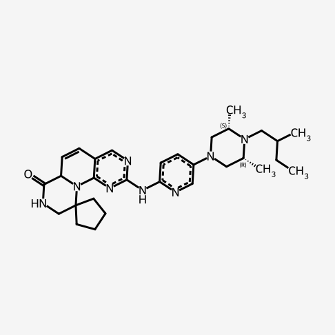 CCC(C)CN1[C@H](C)CN(c2ccc(Nc3ncc4c(n3)N3C(C=C4)C(=O)NCC34CCCC4)nc2)C[C@@H]1C